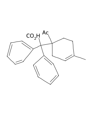 CC(=O)C1(C(C(=O)O)(c2ccccc2)c2ccccc2)CC=C(C)CC1